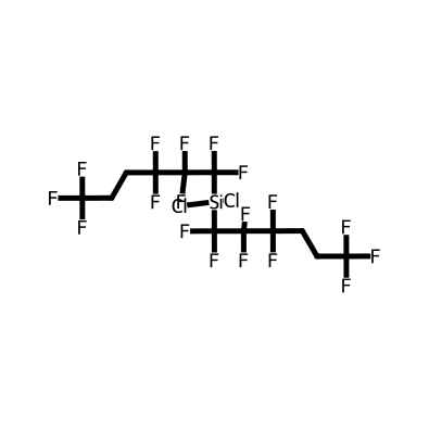 FC(F)(F)CCC(F)(F)C(F)(F)C(F)(F)[Si](Cl)(Cl)C(F)(F)C(F)(F)C(F)(F)CCC(F)(F)F